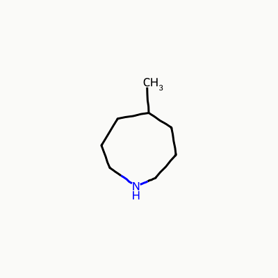 CC1CCCNCCC1